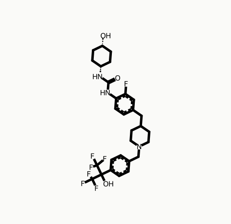 O=C(Nc1ccc(CC2CCN(Cc3ccc(C(O)(C(F)(F)F)C(F)(F)F)cc3)CC2)cc1F)N[C@H]1CC[C@@H](O)CC1